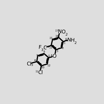 Nc1cc(Oc2ccc(Cl)c(Cl)c2)c(C(F)(F)F)cc1[N+](=O)[O-]